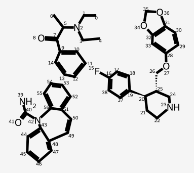 CCN(CC)C(C)C(=O)c1ccccc1.Fc1ccc([C@@H]2CCNC[C@H]2COc2ccc3c(c2)OCO3)cc1.NC(=O)N1c2ccccc2C=Cc2ccccc21